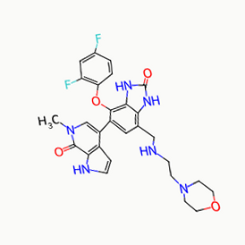 Cn1cc(-c2cc(CNCCN3CCOCC3)c3[nH]c(=O)[nH]c3c2Oc2ccc(F)cc2F)c2cc[nH]c2c1=O